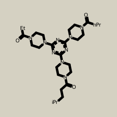 CCCC(=O)N1CCN(c2nc(N3CCN(C(=O)CC)CC3)nc(N3CCN(C(=O)CCC(C)C)CC3)n2)CC1